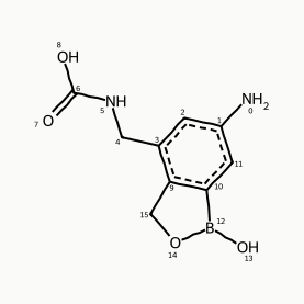 Nc1cc(CNC(=O)O)c2c(c1)B(O)OC2